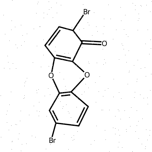 O=C1C2=C(C=CC1Br)Oc1cc(Br)ccc1O2